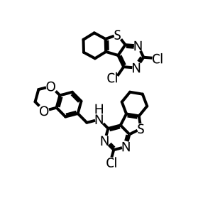 Clc1nc(Cl)c2c3c(sc2n1)CCCC3.Clc1nc(NCc2ccc3c(c2)OCCO3)c2c3c(sc2n1)CCCC3